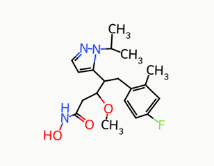 COC(CC(=O)NO)C(Cc1ccc(F)cc1C)c1ccnn1C(C)C